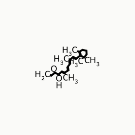 C=CC(=O)C(O)C=C(C)C=CC=C(C)C=CC1=C(C)CCCC1(C)C